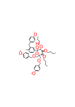 CCCCOC1[C@@H](OCCCC)[C@H](OCCCC)C(COCc2ccc(OC)cc2)(COCc2ccc(OC)cc2)OC1(O)c1ccc(C)c(Cc2ccc(OC)cc2)c1